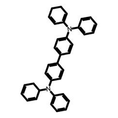 C1=CCC(N(c2ccccc2)c2ccc(-c3ccc(N(C4=CCCC=C4)c4ccccc4)cc3)cc2)C=C1